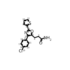 NC(=O)CCc1oc(-c2cccs2)nc1-c1ccc(Cl)cc1